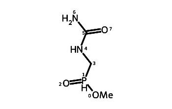 CO[PH](=O)CNC(N)=O